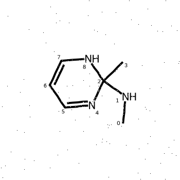 CNC1(C)N=CC=CN1